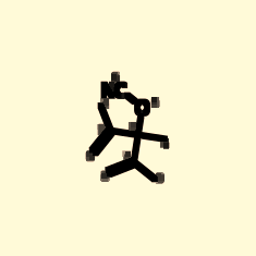 C=C(C)C(C)(OC#N)C(=C)C